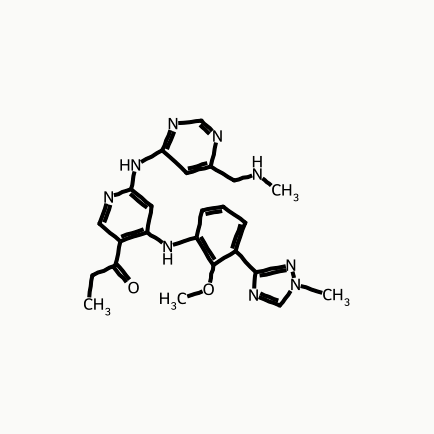 CCC(=O)c1cnc(Nc2cc(CNC)ncn2)cc1Nc1cccc(-c2ncn(C)n2)c1OC